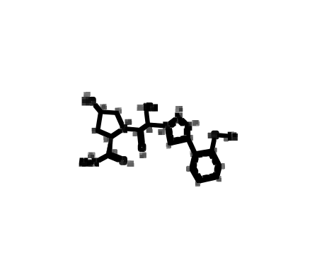 CCOc1ccccc1-c1cn(C(C(=O)N2CC(O)C[C@@H]2C(=O)NC)C(C)(C)C)nn1